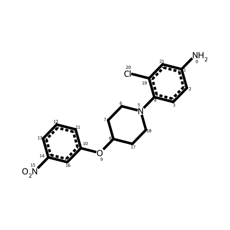 Nc1ccc(N2CCC(Oc3cccc([N+](=O)[O-])c3)CC2)c(Cl)c1